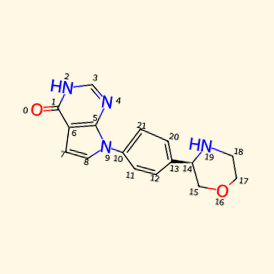 O=c1[nH]cnc2c1ccn2-c1ccc([C@@H]2COCCN2)cc1